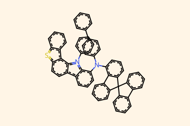 c1ccc(-c2ccc(N(c3cccc4c3-c3ccccc3C43c4ccccc4-c4ccccc43)c3cccc4c5ccc6sc7ccccc7c6c5n(-c5ccccc5)c34)cc2)cc1